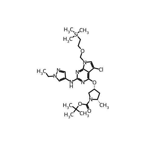 CCn1cc(Nc2nc(O[C@@H]3C[C@H](C)N(C(=O)OC(C)(C)C)C3)c3c(Cl)cn(COCC[Si](C)(C)C)c3n2)cn1